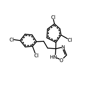 Clc1ccc(CCC2(c3ccc(Cl)cc3Cl)N=CON2)c(Cl)c1